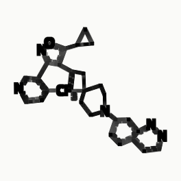 FC(F)(F)c1ccncc1-c1noc(C2CC2)c1C1=CC2(CCN(c3ccc4ccnnc4c3)CC2)C1